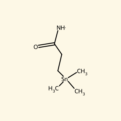 [CH3][Sn]([CH3])([CH3])[CH2]CC([NH])=O